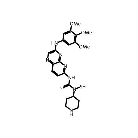 COc1cc(Nc2cnc3ccc(NC(=O)N(S)C4CCNCC4)nc3n2)cc(OC)c1OC